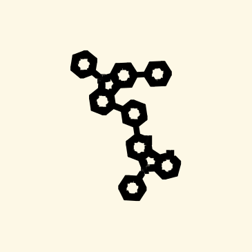 c1ccc(-c2ccc3c(c2)c2c(-c4cccc(-c5ccc6c(n5)c5ncccc5n6-c5ccccc5)c4)cccc2n3-c2ccccc2)cc1